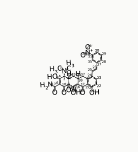 CN(C)[C@@H]1C(O)=C(C(N)=O)C(=O)[C@@]2(O)C(O)=C3C(=O)c4c(O)ccc(/C=C/c5cccc([N+](=O)[O-])c5)c4C[C@H]3C[C@@H]12